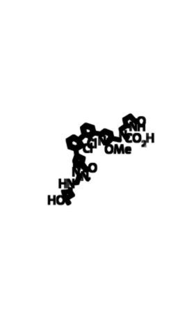 COc1nc(-c2cccc(-c3cccc(-c4cc5c(=O)n(C)c(CNC6CC(C)(O)C6)nn5c4)c3Cl)c2Cl)ccc1CN(CC1CCC(=O)N1)C(=O)O